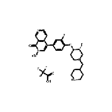 CCCCn1cc(-c2ccc(O[C@@H]3CCN(CC4CCNCC4)C[C@H]3F)c(F)c2)c2ccncc2c1=O.O=C(O)C(F)(F)F